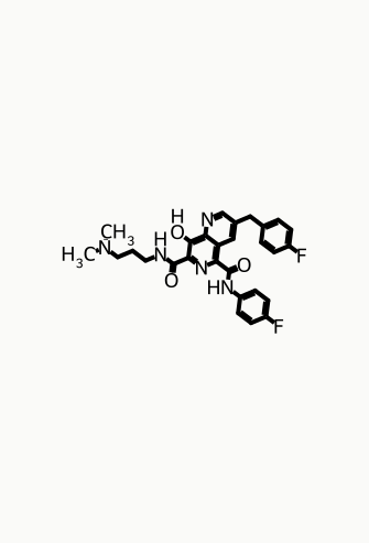 CN(C)CCCNC(=O)c1nc(C(=O)Nc2ccc(F)cc2)c2cc(Cc3ccc(F)cc3)cnc2c1O